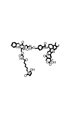 Cc1c(F)cc2nc3c(c4c2c1CC[C@@H]4NC(=O)c1ccc(COCNC(=O)CNC(=O)[C@H](Cc2ccccc2)NC(=O)COC(=O)CNC(=O)CCCCCN2C(=O)C=CC2O)cc1)Cn1c-3cc2c(c1=O)COC(=O)[C@@]2(C)O